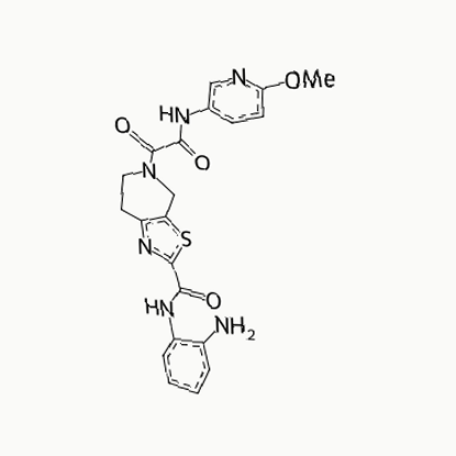 COc1ccc(NC(=O)C(=O)N2CCc3nc(C(=O)Nc4ccccc4N)sc3C2)cn1